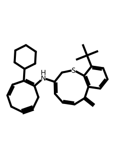 C=C1/C=C\C=C(\N/C2=C(C3CCCCC3)/C=C\CC#CC2)CSc2c1cccc2C(C)(C)C